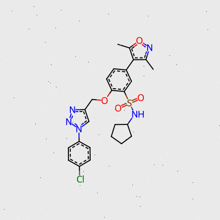 Cc1noc(C)c1-c1ccc(OCc2cn(-c3ccc(Cl)cc3)nn2)c(S(=O)(=O)NC2CCCC2)c1